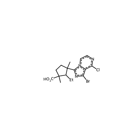 CCC1C(C)(C(=O)O)CCC1(C)c1nc(Br)c2c(Cl)nccn12